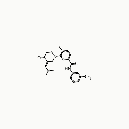 Cc1ccc(C(=O)Nc2cccc(C(F)(F)F)c2)cc1N1CCC(=O)C(=CN(C)C)C1